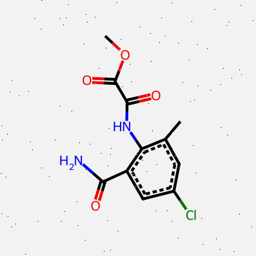 COC(=O)C(=O)Nc1c(C)cc(Cl)cc1C(N)=O